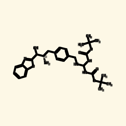 CC(C)(C)OC(=O)NC(NCc1ccc(C[C@H](N)C(O)c2nc3ccccc3o2)cc1)NC(=O)OC(C)(C)C